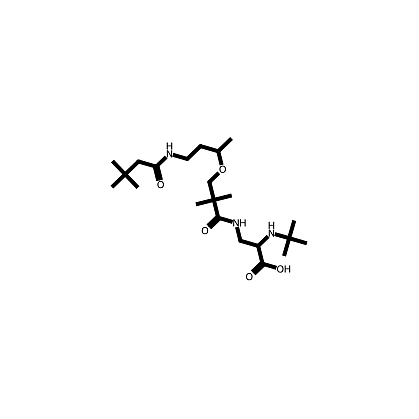 CC(CCNC(=O)CC(C)(C)C)OCC(C)(C)C(=O)NCC(NC(C)(C)C)C(=O)O